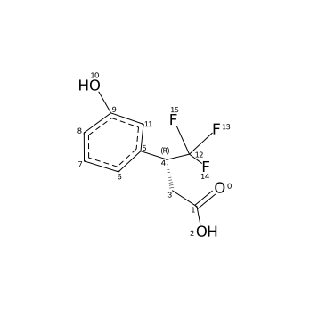 O=C(O)C[C@H](c1cccc(O)c1)C(F)(F)F